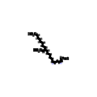 CCCCC/C=C\C/C=C\CCCCCC(CCCCCCCC(=O)O)CC(=O)O